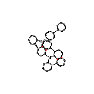 c1ccc(-c2ccc(-n3c4ccccc4c4ccc(N(c5ccccc5-c5ccccc5)c5ccccc5-c5ccccc5)cc43)cc2)cc1